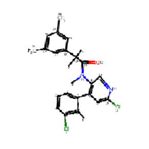 Cc1c(Cl)cccc1-c1cc(Cl)ncc1N(C)C(=O)C(C)(C)c1cc(C(F)(F)F)cc(C(F)(F)F)c1